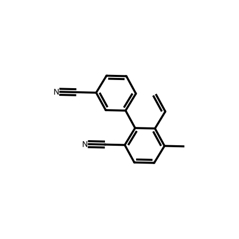 C=Cc1c(C)ccc(C#N)c1-c1cccc(C#N)c1